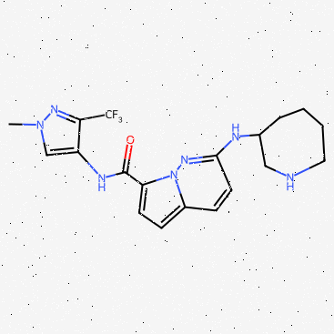 Cn1cc(NC(=O)c2ccc3ccc(NC4CCCCNC4)nn23)c(C(F)(F)F)n1